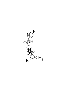 Cc1cc(Br)cc(S(=O)(=O)N2CCC(C(=O)NCc3ccc(F)cn3)CC2)c1